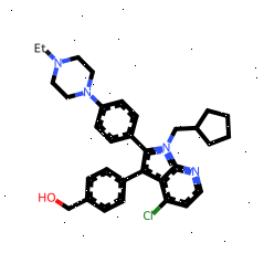 CCN1CCN(c2ccc(-c3c(-c4ccc(CO)cc4)c4c(Cl)ccnc4n3CC3CCCC3)cc2)CC1